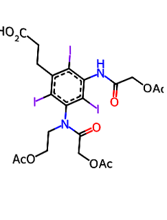 CC(=O)OCCN(C(=O)COC(C)=O)c1c(I)c(CCC(=O)O)c(I)c(NC(=O)COC(C)=O)c1I